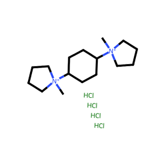 C[N+]1(C2CCC([N+]3(C)CCCC3)CC2)CCCC1.Cl.Cl.Cl.Cl